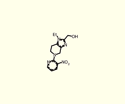 CCn1c(CO)nc2c1CCN(c1ncccc1[N+](=O)[O-])C2